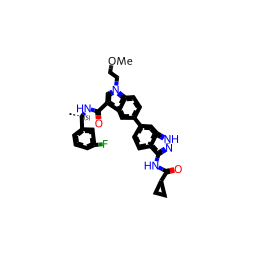 COCCn1cc(C(=O)N[C@@H](C)c2cccc(F)c2)c2cc(-c3ccc4c(NC(=O)C5CC5)n[nH]c4c3)ccc21